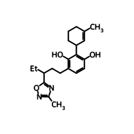 CCC(CCc1ccc(O)c(C2C=C(C)CCC2)c1O)c1nc(C)no1